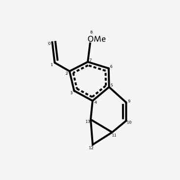 C=Cc1cc2c(cc1OC)C=CC1CC21